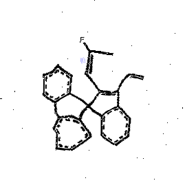 C=CC1=C(/C=C(\C)F)C2(c3ccccc31)c1ccccc1-c1ccccc12